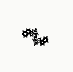 O=C(C(=O)N(Cc1cccc2ccccc12)S(=O)(=O)C(F)(F)F)N(Cc1cccc2ccccc12)S(=O)(=O)C(F)(F)F